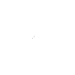 CC1CCCC(CC(=O)CC2CCCC(C)C2)C1